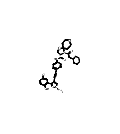 Cn1cc(C#Cc2ccc(NC(=O)[C@@H]3COC4(CCOCC4)N3C(=O)CC3CCCCC3)cc2)c(-c2cc(Cl)ccc2O)n1